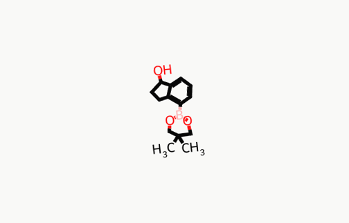 CC1(C)COB(c2cccc3c2CCC3O)OC1